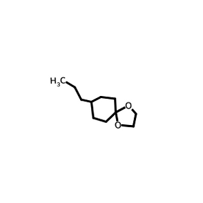 CCCC1CCC2(CC1)OCCO2